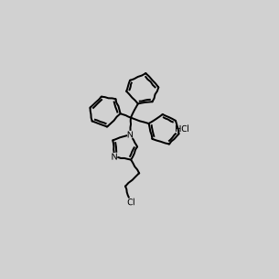 Cl.ClCCc1cn(C(c2ccccc2)(c2ccccc2)c2ccccc2)cn1